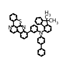 CC1(C)c2ccccc2-c2c(N(c3ccc(-c4ccccc4)cc3)c3cccc(-c4cccc5c4nc4c6c(nccc65)-c5ccccc5S4)c3)cccc21